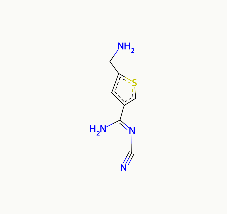 N#CN=C(N)c1csc(CN)c1